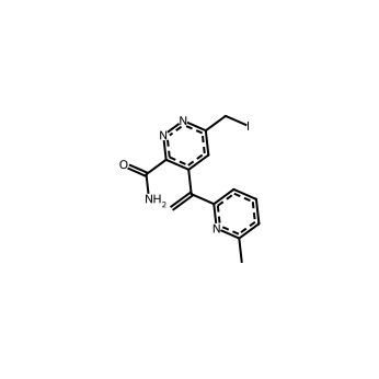 C=C(c1cccc(C)n1)c1cc(CI)nnc1C(N)=O